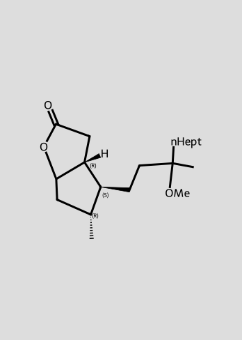 CCCCCCCC(C)(CC[C@H]1[C@H](C)CC2OC(=O)C[C@@H]21)OC